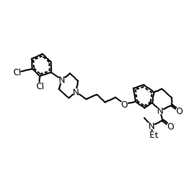 CCN(C)C(=O)N1C(=O)CCc2ccc(OCCCCN3CCN(c4cccc(Cl)c4Cl)CC3)cc21